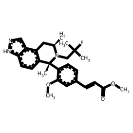 COC(=O)/C=C/c1ccc([C@]2(C)c3ccc4[nH]ncc4c3C[C@@H](C)N2CC(C)(C)F)c(OC)c1